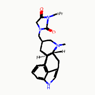 CCCN1C(=O)CN(CC2C[C@@H]3c4cccc5[nH]cc(c45)C[C@H]3N(C)C2)C1=O